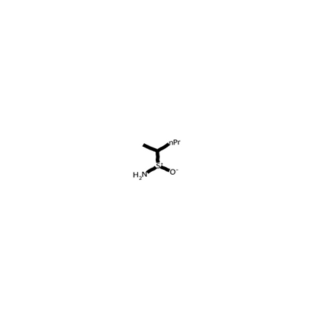 CCCC(C)[S+](N)[O-]